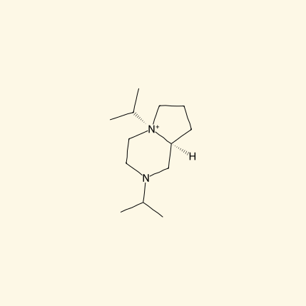 CC(C)N1CC[N@@+]2(C(C)C)CCC[C@H]2C1